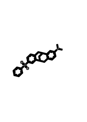 CN(C)c1ccc2c(c1)C1Cc3ccc(S(=O)(=O)c4ccccc4)cc3C(C2)C1